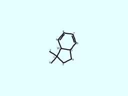 CC1(C)CCC2[C]=CC=CC21